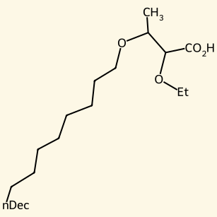 CCCCCCCCCCCCCCCCCCOC(C)C(OCC)C(=O)O